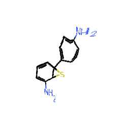 NC1=CC=CC2(c3ccc(N)cc3)SC12